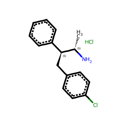 C[C@H](N)[C@@H](Cc1ccc(Cl)cc1)c1ccccc1.Cl